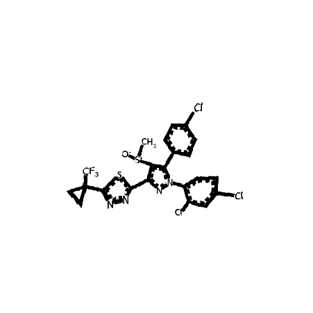 C[S+]([O-])c1c(-c2nnc(C3(C(F)(F)F)CC3)s2)nn(-c2ccc(Cl)cc2Cl)c1-c1ccc(Cl)cc1